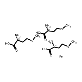 CSCC[C@H](N)C(=O)O.CSCC[C@H](N)C(=O)O.CSCC[C@H](N)C(=O)O.[Fe]